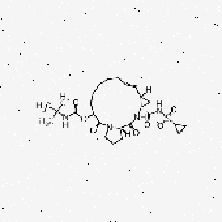 CC(C)(C)NC(=O)O[C@H]1CCCCC/C=C/[C@@H]2C[C@@]2(C(=O)NS(=O)(=O)C2CC2)NC(=O)[C@@H]2CCCN2C1=O